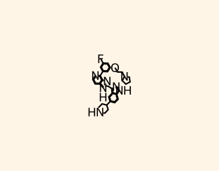 Fc1cc(OCCN2CCCC2)cc(-c2nccc3[nH]c(-c4n[nH]c5ccc(C6CCNCC6)cc45)nc23)c1